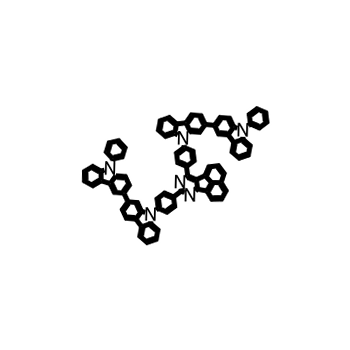 c1ccc(-n2c3ccccc3c3cc(-c4ccc5c6ccccc6n(-c6ccc(-c7nc(-c8ccc(-n9c%10ccccc%10c%10ccc(-c%11ccc%12c(c%11)c%11ccccc%11n%12-c%11ccccc%11)cc%109)cc8)c8c(n7)-c7cccc9cccc-8c79)cc6)c5c4)ccc32)cc1